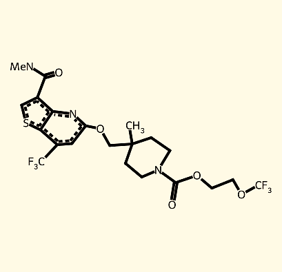 CNC(=O)c1csc2c(C(F)(F)F)cc(OCC3(C)CCN(C(=O)OCCOC(F)(F)F)CC3)nc12